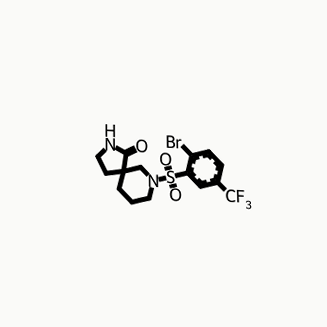 O=C1NCCC12CCCN(S(=O)(=O)c1cc(C(F)(F)F)ccc1Br)C2